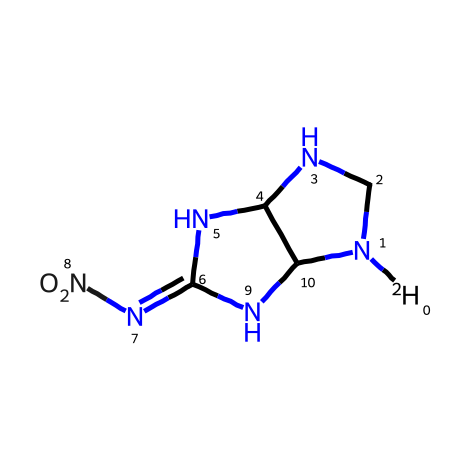 [2H]N1CNC2NC(=N[N+](=O)[O-])NC21